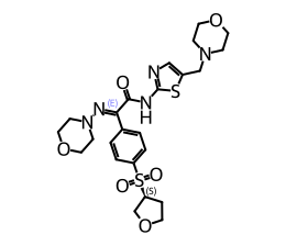 O=C(Nc1ncc(CN2CCOCC2)s1)/C(=N/N1CCOCC1)c1ccc(S(=O)(=O)[C@H]2CCOC2)cc1